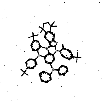 Cc1cc(C(C)(C)C)ccc1N1c2cc(N(c3ccccc3)c3ccccc3)cc3c2B(c2cc(C(C)(C)C)ccc2N3c2ccc(C(C)(C)C)cc2)c2c1oc1cc3c(cc21)C(C)(C)CCC3(C)C